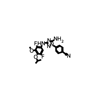 COc1c(F)c(Nc2nc(N)n(-c3ccc(C#N)cc3)n2)cc(F)c1OC(C)C